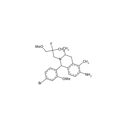 COCC(C)(F)CN1C(C)Cc2c(ccc(N)c2C)C1c1ccc(Br)cc1OC